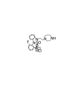 Cl.Cl.O=S1(=O)N(CCN2CCCNCC2)c2ccccc2N1c1c(F)cccc1F